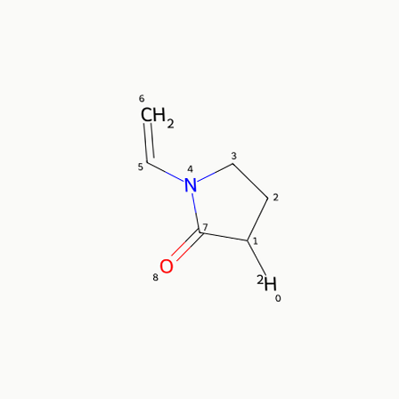 [2H]C1CCN(C=C)C1=O